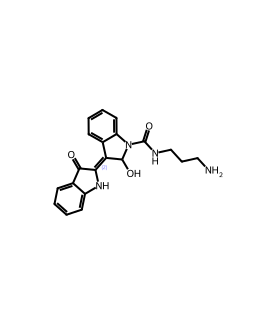 NCCCNC(=O)N1c2ccccc2/C(=C2/Nc3ccccc3C2=O)C1O